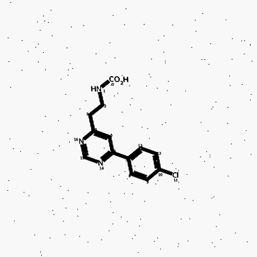 O=C(O)NCCc1cc(-c2ccc(Cl)cc2)ncn1